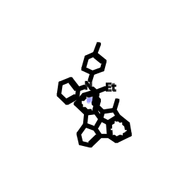 CC/C(=C\C1C(C)c2cccc3c2C12c1ccccc1C1CCC=C3C12)N(C1=CCCC=C1)C1CC=C(C)CC1